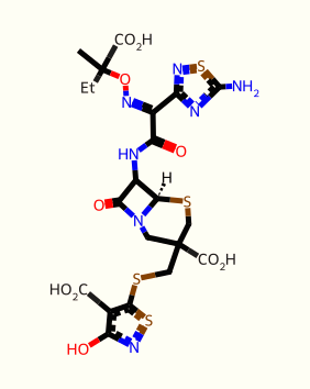 CCC(C)(ON=C(C(=O)NC1C(=O)N2CC(CSc3snc(O)c3C(=O)O)(C(=O)O)CS[C@H]12)c1nsc(N)n1)C(=O)O